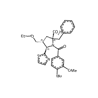 CCOC[C@@H]1C[C@@](Cc2ccccc2)(C(=O)O)N(C(=O)c2ccc(C(C)(C)C)c(OC)c2)[C@H]1c1nccs1